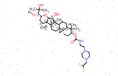 CCO[C@@H](C1C[C@@H](C)[C@H]2C(O1)[C@H](O)[C@@]1(C)C3CC[C@H]4C(C)(C)[C@@H](OC(=O)NCCN5CCN(CC(F)F)CC5)CC[C@@]45C[C@@]35CC[C@]21C)C(C)(C)O